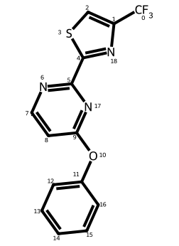 FC(F)(F)c1csc(-c2n[c]cc(Oc3ccccc3)n2)n1